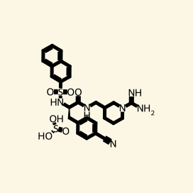 N#Cc1ccc(C[C@@H](NS(=O)(=O)c2ccc3ccccc3c2)C(=O)NCC2CCCN(C(=N)N)C2)cc1.O=S(O)O